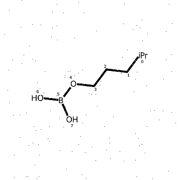 CC(C)CCCOB(O)O